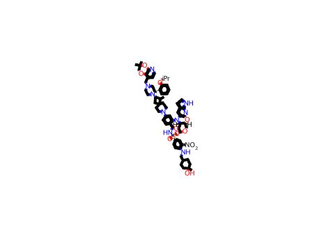 CC(C)Oc1ccccc1[C@H]1CN(Cc2ccnc3c2OCC(C)(C)O3)CCN1C1CC2(CCN(c3ccc(C(=O)NS(=O)(=O)c4ccc(NCC5CCC(C)(O)CC5)c([N+](=O)[O-])c4)c(N4c5cc6cc[nH]c6nc5O[C@H]5COCC[C@@H]54)c3)CC2)C1C